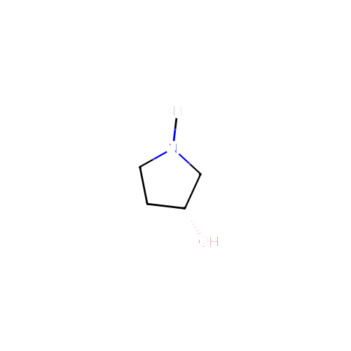 [2H]N1CC[C@@H](O)C1